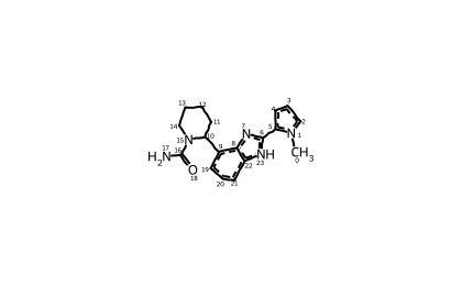 Cn1cccc1-c1nc2c(C3CCCCN3C(N)=O)cccc2[nH]1